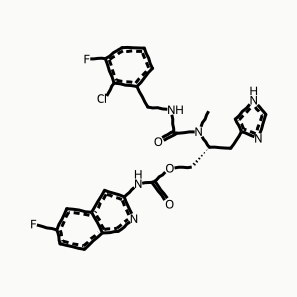 CN(C(=O)NCc1cccc(F)c1Cl)[C@@H](COC(=O)Nc1cc2cc(F)ccc2cn1)Cc1c[nH]cn1